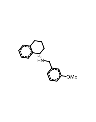 COc1cccc(CN[C@H]2CCCc3ccccc32)c1